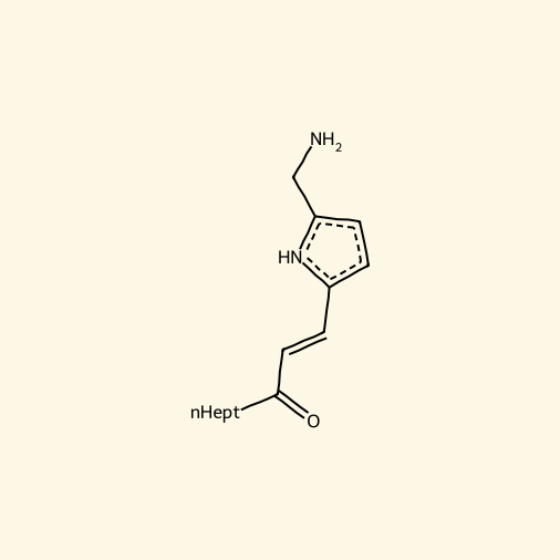 CCCCCCCC(=O)C=Cc1ccc(CN)[nH]1